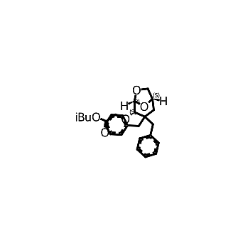 CC(C)COC(=O)CO[C@@H]1[C@@H]2OC[C@H](CC1(Cc1ccccc1)Cc1ccccc1)O2